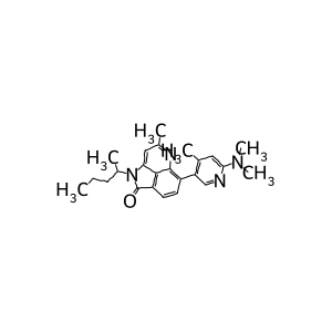 CCCC(C)N1C(=O)c2ccc(-c3cnc(N(C)C)cc3C)c3nc(C)cc1c23